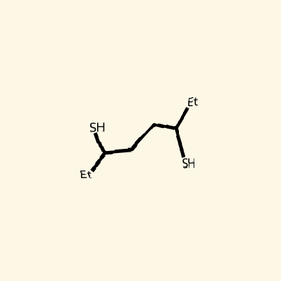 [CH2]CC(S)CCC(S)CC